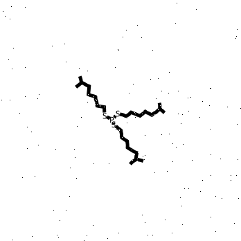 CC(C)CCCCCSP(SCCCCCC(C)C)SCCCCCC(C)C